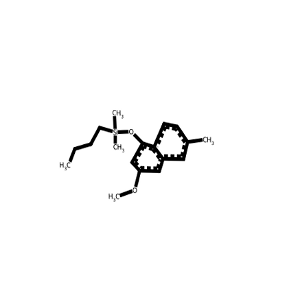 CCCC[Si](C)(C)Oc1cc(OC)cc2cc(C)ccc12